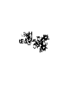 CC(=O)OCC(=O)N(CC[C@H](NC(=O)OC(C)(C)C)C(=O)OC(C)(C)C)[C@@H](c1nn(-c2cc(F)ccc2F)cc1Cc1ccccc1)C(C)(C)C